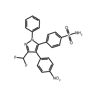 NS(=O)(=O)c1ccc(-c2c(-c3ccc([N+](=O)[O-])cc3)c(C(F)F)nn2-c2ccccc2)cc1